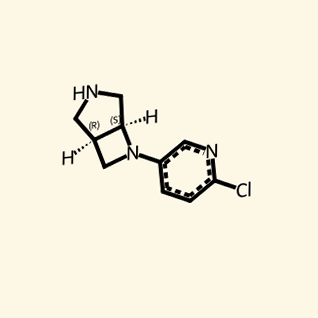 Clc1ccc(N2C[C@H]3CNC[C@H]32)cn1